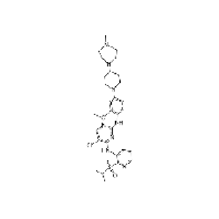 COc1cc(N2CCC(N3CCN(C)CC3)CC2)ccc1Nc1ncc(Cl)c(Nc2cccnc2S(=O)(=O)C(C)C)n1